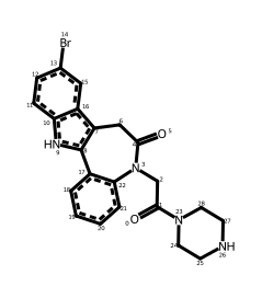 O=C(CN1C(=O)Cc2c([nH]c3ccc(Br)cc23)-c2ccccc21)N1CCNCC1